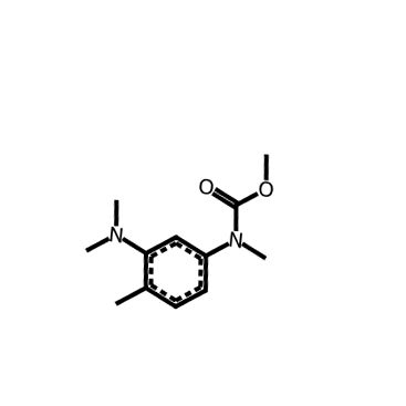 COC(=O)N(C)c1ccc(C)c(N(C)C)c1